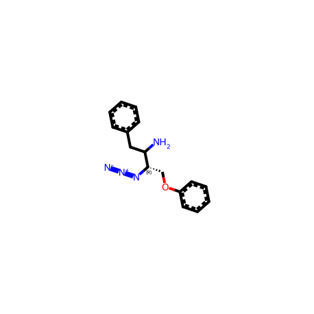 [N-]=[N+]=N[C@@H](COc1ccccc1)C(N)Cc1ccccc1